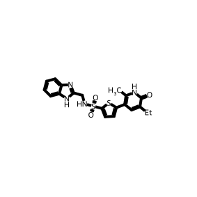 CCc1cc(-c2ccc(S(=O)(=O)NCc3nc4ccccc4[nH]3)s2)c(C)[nH]c1=O